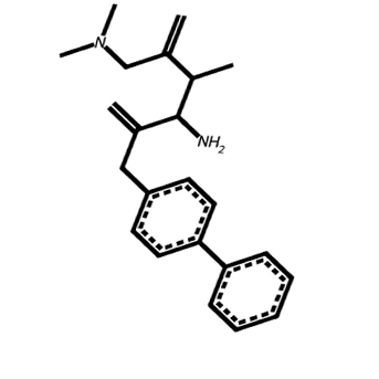 C=C(CN(C)C)C(C)C(N)C(=C)Cc1ccc(-c2ccccc2)cc1